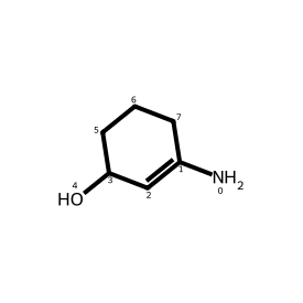 NC1=CC(O)CCC1